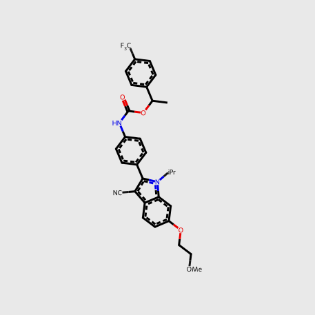 COCCOc1ccc2c(C#N)c(-c3ccc(NC(=O)OC(C)c4ccc(C(F)(F)F)cc4)cc3)n(C(C)C)c2c1